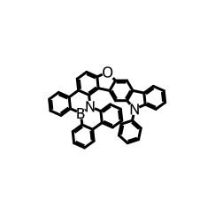 c1ccc(-n2c3ccccc3c3cc4oc5ccc6c(c5c4cc32)N2B(c3ccccc3-c3ccccc32)c2ccccc2-6)cc1